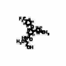 C[C@@H](CCO)NC(=O)c1cnc(Oc2ccc(C(F)(F)F)cc2)c(-c2ccn(C)n2)c1